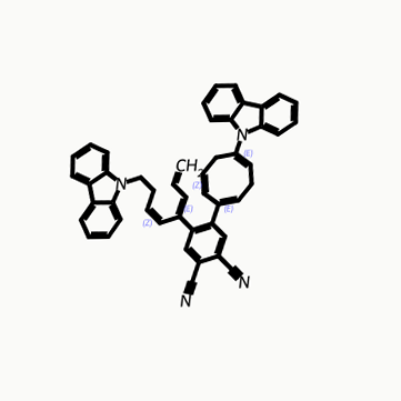 C=C/C=C(\C=C/CCn1c2ccccc2c2ccccc21)c1cc(C#N)c(C#N)cc1C1=C/C/C=C(/n2c3ccccc3c3ccccc32)C/C=C\1